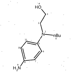 CCCCN(CCO)c1ccc(N)cc1